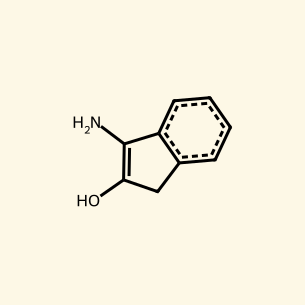 NC1=C(O)Cc2ccccc21